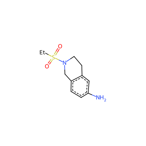 CCS(=O)(=O)N1CCc2cc(N)ccc2C1